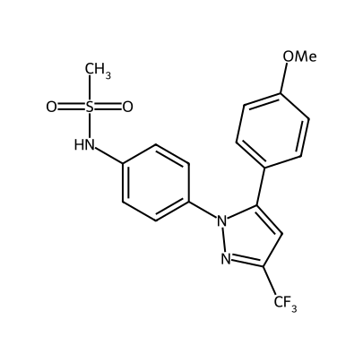 COc1ccc(-c2cc(C(F)(F)F)nn2-c2ccc(NS(C)(=O)=O)cc2)cc1